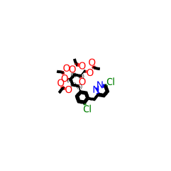 CC(=O)OC[C@H]1O[C@@H](c2ccc(Cl)c(Cc3ccc(Cl)nn3)c2)[C@H](OC(C)=O)[C@@H](OC(C)=O)[C@@H]1OC(C)=O